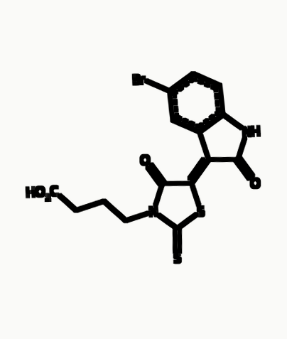 O=C(O)CCCN1C(=O)/C(=C2/C(=O)Nc3ccc(Br)cc32)SC1=S